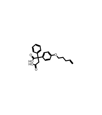 C=CCCCOc1ccc(C(CC(=O)O)(C(=O)O)c2ccccc2)cc1